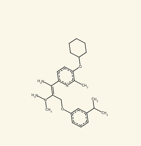 Cc1nc(/C(N)=C(\COc2cccc(C(C)C)c2)N(C)N)ccc1OC1CCCCC1